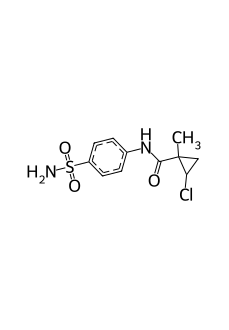 CC1(C(=O)Nc2ccc(S(N)(=O)=O)cc2)CC1Cl